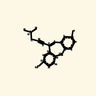 Cc1ccc2c(c1)C=C(C#CCN(C)C)c1cc(F)ccc1S2